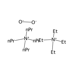 CCC[N+](CCC)(CCC)CCC.CC[N+](CC)(CC)CC.[O-][O-]